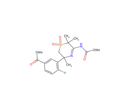 COC(=O)NC1=NC(C)(c2cc(C(=O)OC)ccc2F)CS(=O)(=O)C1(C)C